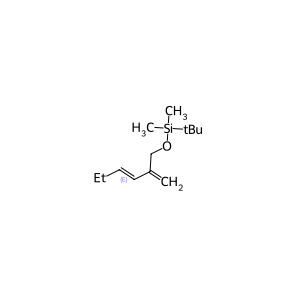 C=C(/C=C/CC)CO[Si](C)(C)C(C)(C)C